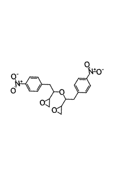 O=[N+]([O-])c1ccc(CC(OC(Cc2ccc([N+](=O)[O-])cc2)C2CO2)C2CO2)cc1